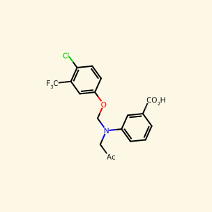 CC(=O)CN(COc1ccc(Cl)c(C(F)(F)F)c1)c1cccc(C(=O)O)c1